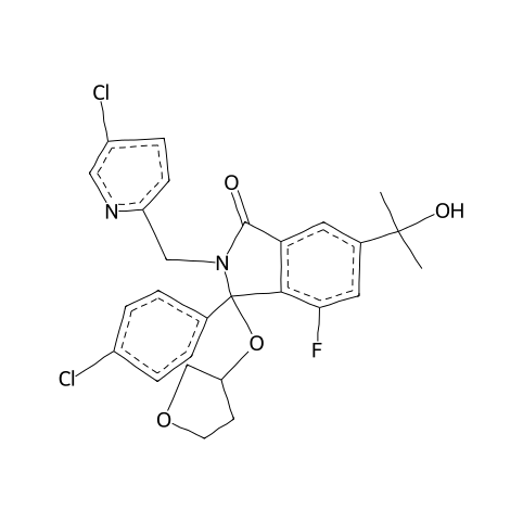 CC(C)(O)c1cc(F)c2c(c1)C(=O)N(Cc1ccc(Cl)cn1)C2(OC1CCOC1)c1ccc(Cl)cc1